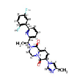 Cc1cn(-c2ccc3n(c2=O)CCN([C@@H](C)c2cccc(-c4cc(F)ccc4F)n2)C3=O)cn1